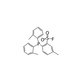 Cc1ccc(P(c2ccccc2C)c2ccccc2C)c(S(=O)(=O)F)c1